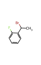 CC(Br)c1ccccc1F